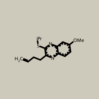 C=CCCc1nc2ccc(OC)cc2nc1SC(C)C